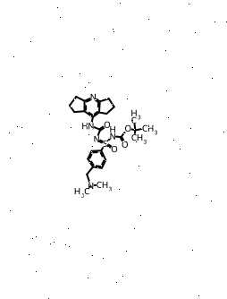 CN(C)Cc1ccc(S(=O)(=NC(=O)Nc2c3c(nc4c2CCC4)CCC3)NC(=O)OC(C)(C)C)cc1